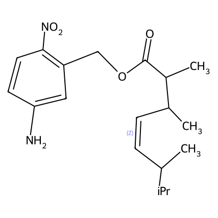 CC(C)C(C)/C=C\C(C)C(C)C(=O)OCc1cc(N)ccc1[N+](=O)[O-]